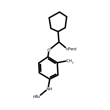 CCCCCC(Oc1ccc(NCCCC)cc1C)C1CCCCC1